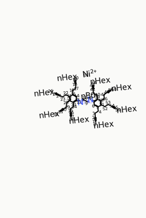 CCCCCCC#CCCc1cc(/N=C/C(CCCC)=N/c2cc(CCC#CCCCCCC)c(CCC#CCCCCCC)c(CCC#CCCCCCC)c2CCC#CCCCCCC)c(CCC#CCCCCCC)c(CCC#CCCCCCC)c1CCC#CCCCCCC.[Ni+2]